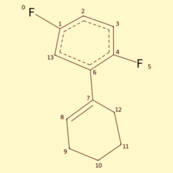 Fc1ccc(F)c(C2=CCCCC2)c1